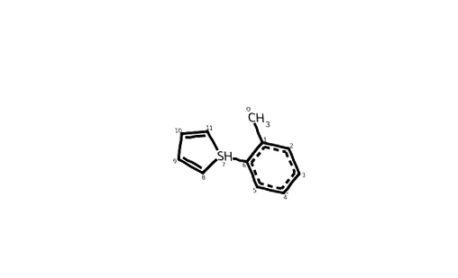 Cc1cc[c]cc1[SH]1C=CC=C1